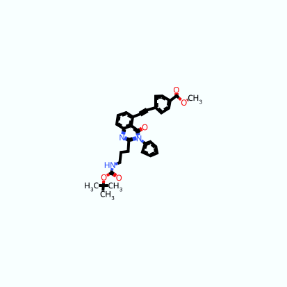 COC(=O)c1ccc(C#Cc2cccc3nc(CCCNC(=O)OC(C)(C)C)n(-c4ccccc4)c(=O)c23)cc1